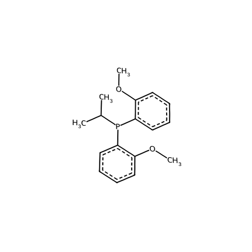 COc1ccccc1P(c1ccccc1OC)C(C)C